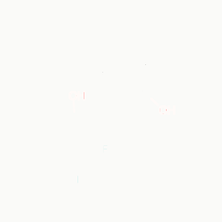 CC(O)(CC1C2CCC(C2)C1O)C(F)(F)F